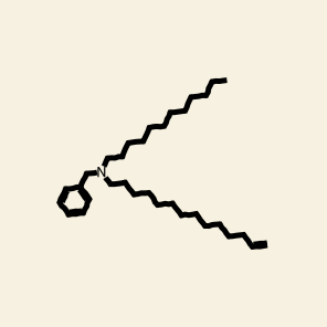 C=CCCCCCCCCCCCCN(CCCCCCCCCCCC)Cc1ccccc1